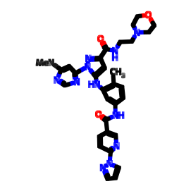 CNc1cc(-n2nc(C(=O)NCCN3CCOCC3)cc2Nc2cc(NC(=O)c3ccc(-n4cccn4)nc3)ccc2C)ncn1